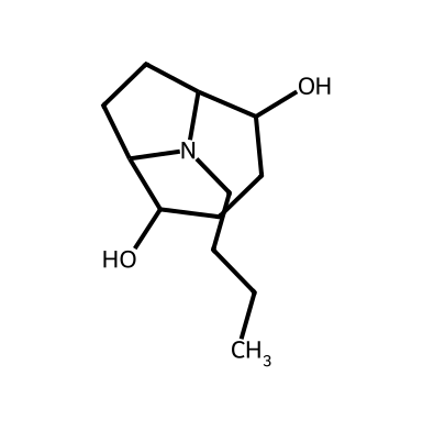 CCCCN1C2CCC1C(O)CCC2O